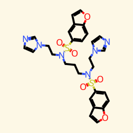 O=S(=O)(c1ccc2occc2c1)N(CCCN(CCn1ccnc1)S(=O)(=O)c1ccc2occc2c1)CCn1ccnc1